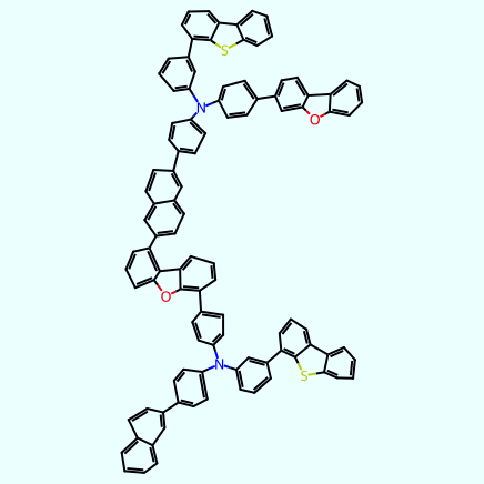 c1cc(-c2cccc3c2sc2ccccc23)cc(N(c2ccc(-c3ccc4cc(-c5cccc6oc7c(-c8ccc(N(c9ccc(-c%10ccc%11ccccc%11c%10)cc9)c9cccc(-c%10cccc%11c%10sc%10ccccc%10%11)c9)cc8)cccc7c56)ccc4c3)cc2)c2ccc(-c3ccc4c(c3)oc3ccccc34)cc2)c1